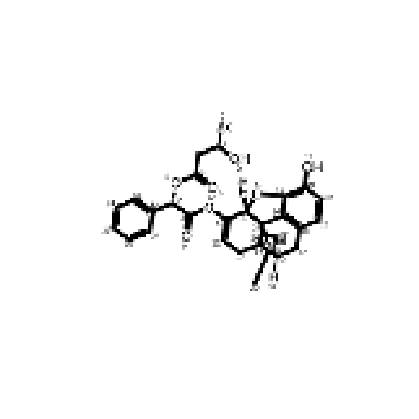 CC(=O)[C@@H](O)CC(=O)O[C@H](C(=O)OC1=CC[C@@]2(O)[C@H]3Cc4ccc(O)c5c4[C@@]2(CCN3C)[C@H]1O5)c1ccccc1